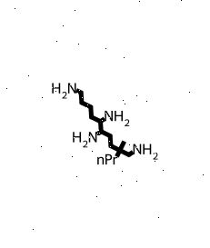 CCCC(C)(CN)CCC(N)C(N)CCCCN